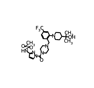 CC(C)(O)C1CCN(c2cc(C(F)(F)F)ccc2CN2CCN(C(=O)n3ccc(NS(C)(=O)=O)n3)CC2)CC1